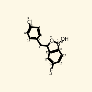 OB1OC(Cc2ccc(Cl)cc2)c2cc(F)ccc21